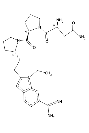 CCn1c(CC[C@@H]2CCCN2C(=O)[C@H]2CCCN2C(=O)[C@@H](N)CC(N)=O)cc2ccc(C(=N)N)cc21